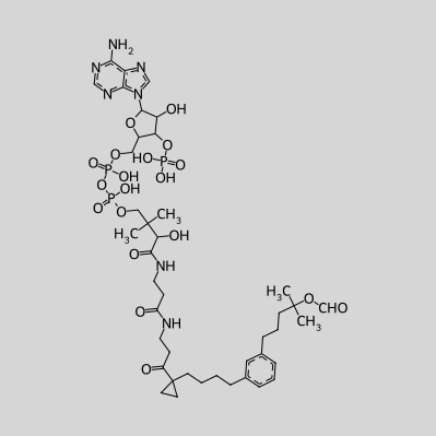 CC(C)(CCCc1cccc(CCCCC2(C(=O)CCNC(=O)CCNC(=O)C(O)C(C)(C)COP(=O)(O)OP(=O)(O)OCC3OC(n4cnc5c(N)ncnc54)C(O)C3OP(=O)(O)O)CC2)c1)OC=O